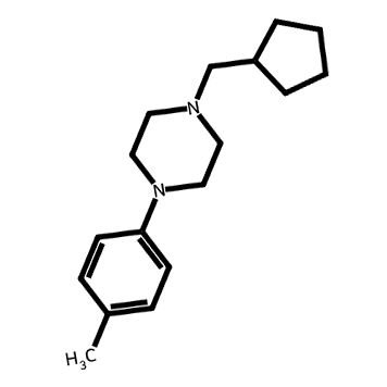 Cc1ccc(N2CCN(CC3CCCC3)CC2)cc1